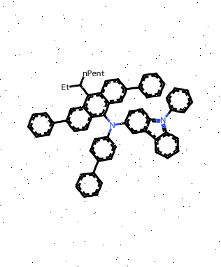 CCCCCC(CC)c1c2cc(-c3ccccc3)ccc2c(N(c2ccc(-c3ccccc3)cc2)c2ccc3c(c2)c2ccccc2n3-c2ccccc2)c2cc(-c3ccccc3)ccc12